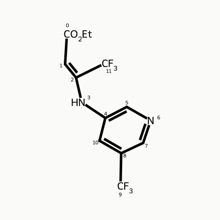 CCOC(=O)/C=C(/Nc1cncc(C(F)(F)F)c1)C(F)(F)F